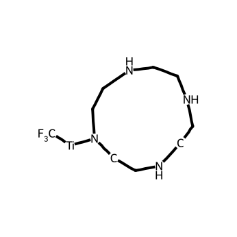 F[C](F)(F)[Ti][N]1CCNCCNCCNCC1